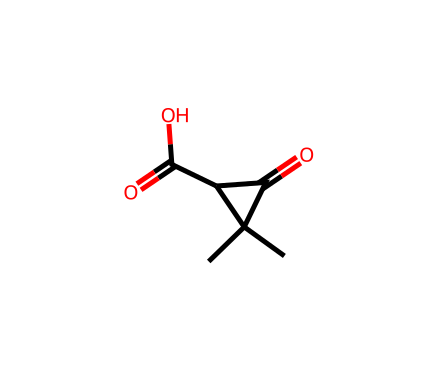 CC1(C)C(=O)C1C(=O)O